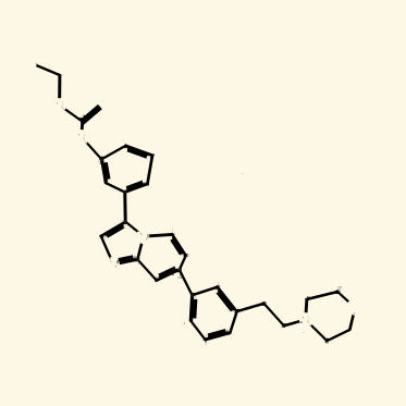 CCNC(=O)Nc1cccc(-c2cnc3cc(-c4cccc(CCN5CCOCC5)c4)ccn23)c1.Cl